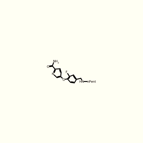 CCCCCNCc1ccc(Oc2ccc(C(N)=O)nc2)c(F)c1